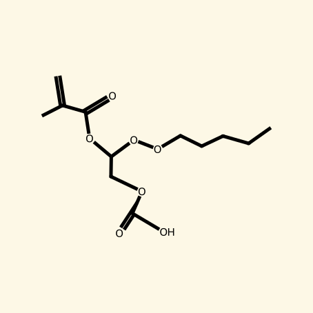 C=C(C)C(=O)OC(COC(=O)O)OOCCCCC